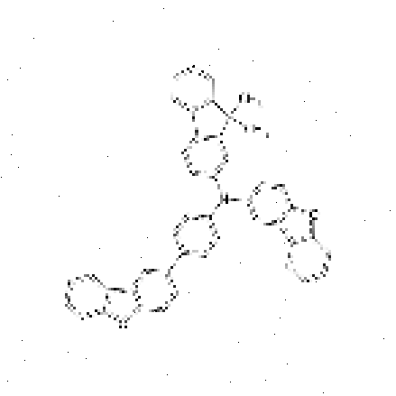 CC1(C)c2ccccc2-c2ccc(N(c3ccc(-c4ccc5oc6ccccc6c5c4)cc3)c3ccc4oc5ccccc5c4c3)cc21